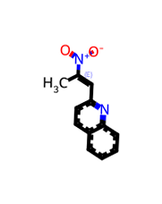 C/C(=C\c1ccc2ccccc2n1)[N+](=O)[O-]